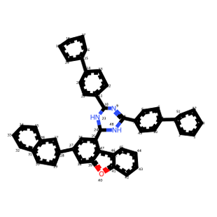 c1ccc(-c2ccc(C3=NC(c4ccc(-c5ccccc5)cc4)NC(c4cc(-c5ccc6ccccc6c5)cc5oc6ccccc6c45)N3)cc2)cc1